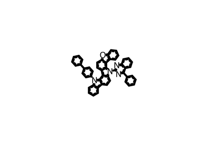 c1ccc(-c2ccc(-n3c4ccccc4c4ccc5c(c6ccc7oc8ccccc8c7c6n5-c5nc(-c6ccccc6)c6ccccc6n5)c43)cc2)cc1